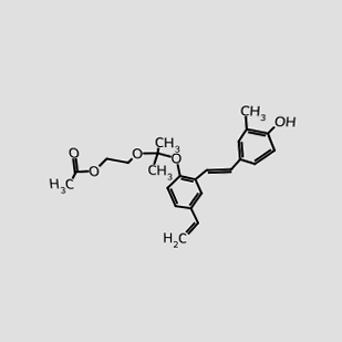 C=Cc1ccc(OC(C)(C)OCCOC(C)=O)c(C=Cc2ccc(O)c(C)c2)c1